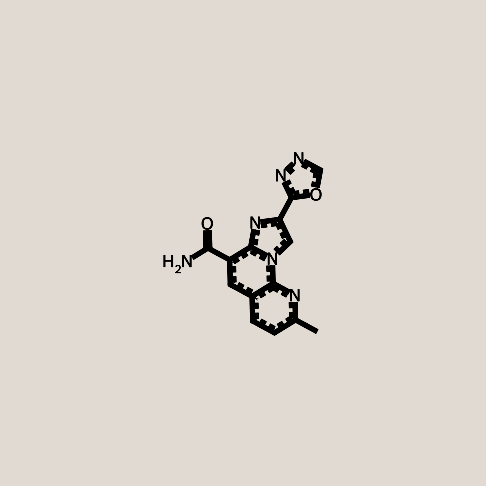 Cc1ccc2cc(C(N)=O)c3nc(-c4nnco4)cn3c2n1